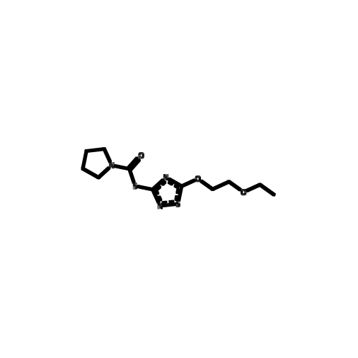 CCOCCOc1nc(SC(=O)N2CCCC2)ns1